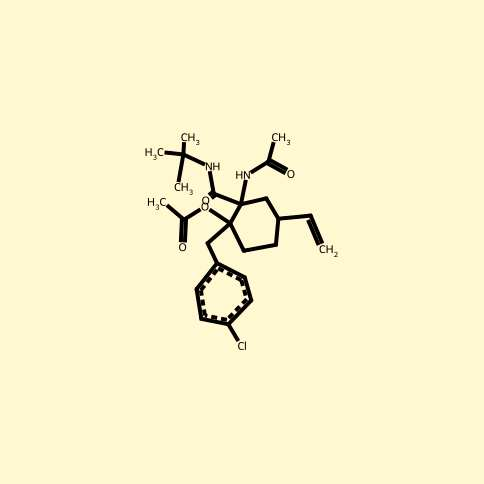 C=CC1CCC(Cc2ccc(Cl)cc2)(OC(C)=O)C(NC(C)=O)(C(=O)NC(C)(C)C)C1